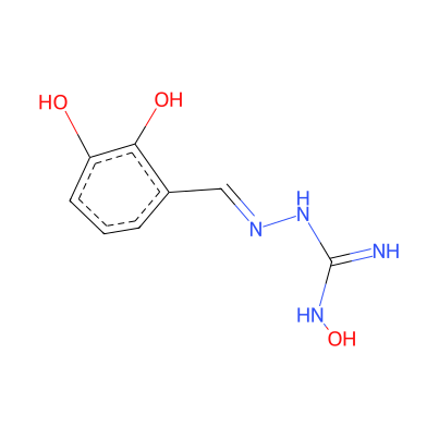 N=C(NO)NN=Cc1cccc(O)c1O